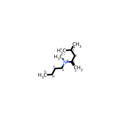 C=C(CC(C)C)N(C)CCCC